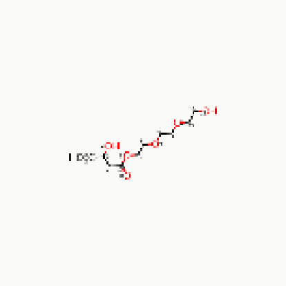 O=C(CC(O)C(=O)O)OCCOCCOCCO